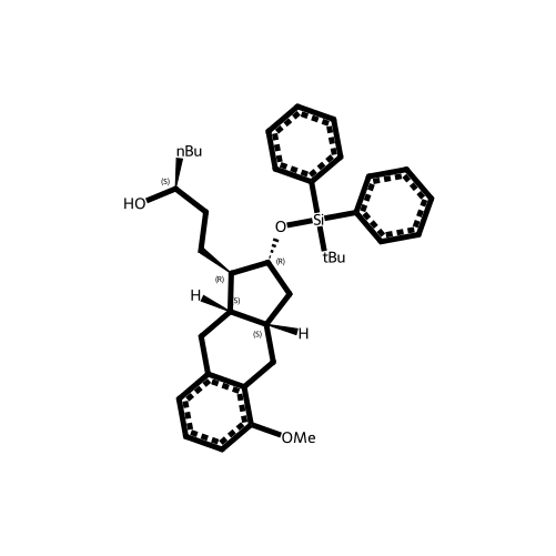 CCCC[C@H](O)CC[C@@H]1[C@H]2Cc3cccc(OC)c3C[C@H]2C[C@H]1O[Si](c1ccccc1)(c1ccccc1)C(C)(C)C